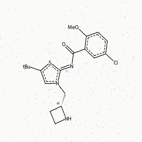 COc1ccc(Cl)cc1C(=O)/N=c1\sc(C(C)(C)C)cn1C[C@H]1CCN1